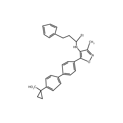 CCC(CCc1ccccc1)Nc1c(C)noc1-c1ccc(-c2ccc(C3(C(=O)O)CC3)cc2)cc1